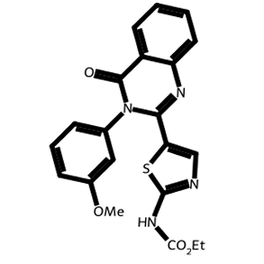 CCOC(=O)Nc1ncc(-c2nc3ccccc3c(=O)n2-c2cccc(OC)c2)s1